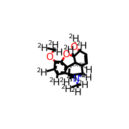 [2H]OC1([2H])C=C[C@@H]2[C@@]34CCN(C([2H])([2H])[2H])[C@]2([2H])C([2H])([2H])c2c([2H])c([2H])c(OC([2H])([2H])[2H])c(c23)OC14[2H]